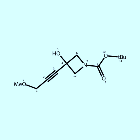 COCC#CC1(O)CN(C(=O)OC(C)(C)C)C1